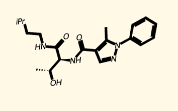 Cc1c(C(=O)N[C@H](C(=O)NCCC(C)C)[C@@H](C)O)cnn1-c1ccccc1